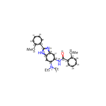 CCN(CC)c1cc2[nH]c(-c3ccccc3OC)nc2cc1NC(=O)c1ccccc1OC